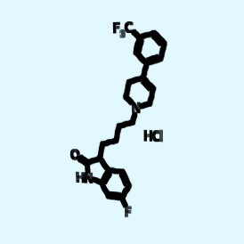 Cl.O=C1Nc2cc(F)ccc2C1CCCCN1CC=C(c2cccc(C(F)(F)F)c2)CC1